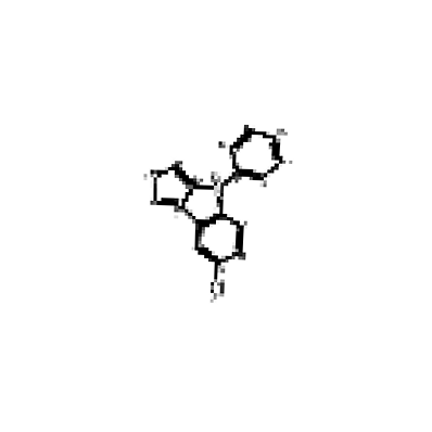 Clc1ccc2c(c1)c1cscc1n2-c1ccccc1